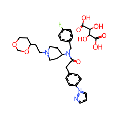 O=C(Cc1ccc(-n2cccn2)cc1)N(Cc1ccc(F)cc1)C1CCN(CCC2CCOCO2)CC1.O=C(O)C(O)C(O)C(=O)O